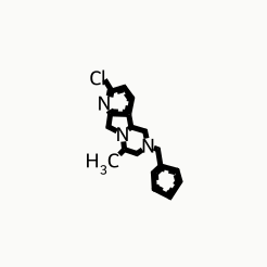 CC1CN(Cc2ccccc2)CC2c3ccc(Cl)nc3CN12